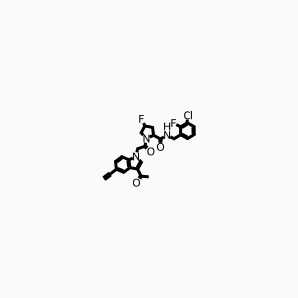 C#Cc1ccc2c(c1)c(C(C)=O)cn2CC(=O)N1CC(F)CC1C(=O)NCc1cccc(Cl)c1F